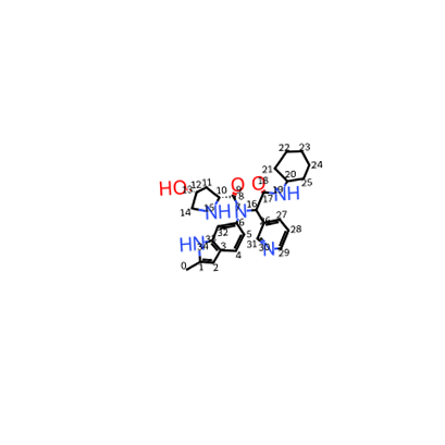 Cc1cc2ccc(N(C(=O)[C@H]3C[C@@H](O)CN3)C(C(=O)NC3CCCCC3)c3cccnc3)cc2[nH]1